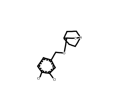 Clc1ccc(COC2CN3CCC2CC3)cc1Cl